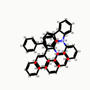 c1ccc(-c2cccc(N(c3ccccc3-n3c4ccccc4c4ccccc43)c3cccc(-c4ccccc4)c3-c3ccccc3-c3ccccc3)c2)cc1